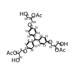 CC(=O)OC(CO)COc1ccc(C(c2ccc(OCC(CO)OC(C)=O)cc2)c2ccc(OCC(CO)OC(C)=O)cc2)cc1